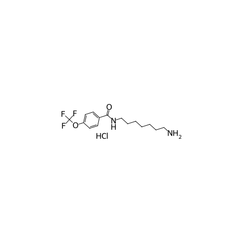 Cl.NCCCCCCCNC(=O)c1ccc(OC(F)(F)F)cc1